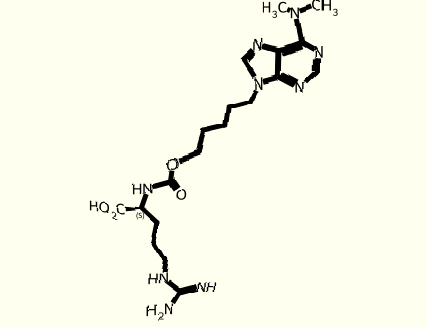 CN(C)c1ncnc2c1ncn2CCCCCOC(=O)N[C@@H](CCCNC(=N)N)C(=O)O